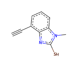 C#Cc1cccc2c1nc(S)n2C